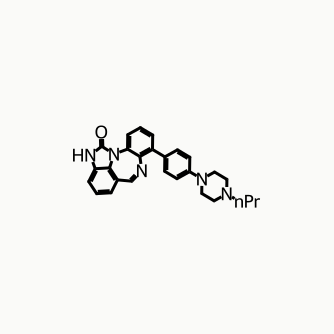 CCCN1CCN(c2ccc(-c3cccc4c3N=Cc3cccc5[nH]c(=O)n-4c35)cc2)CC1